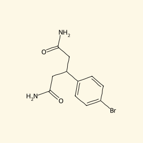 NC(=O)CC(CC(N)=O)c1ccc(Br)cc1